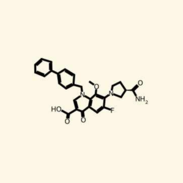 COc1c(N2CC[C@@H](C(N)=O)C2)c(F)cc2c(=O)c(C(=O)O)cn(Cc3ccc(-c4ccccc4)cc3)c12